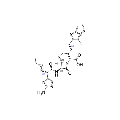 CCO/N=C(\C(=O)N[C@@H]1C(=O)N2C(C(=O)O)=C(/C=C/c3sc4cncn4c3C)CS[C@H]12)c1csc(N)n1